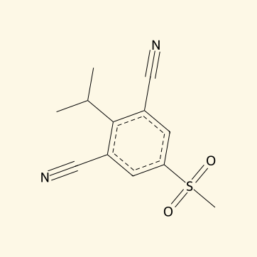 CC(C)c1c(C#N)cc(S(C)(=O)=O)cc1C#N